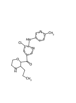 CCCC1NCCOC1C(=O)c1cnc(Nc2ccc(C)nc2)c(Cl)c1